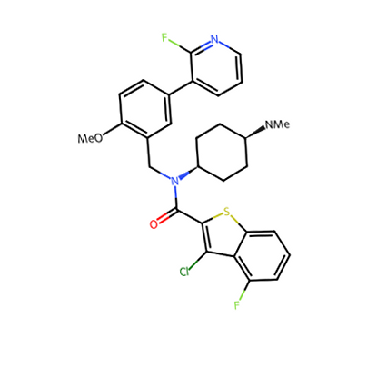 CN[C@H]1CC[C@@H](N(Cc2cc(-c3cccnc3F)ccc2OC)C(=O)c2sc3cccc(F)c3c2Cl)CC1